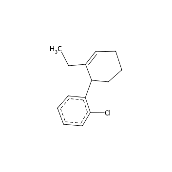 CCC1=CCCCC1c1ccccc1Cl